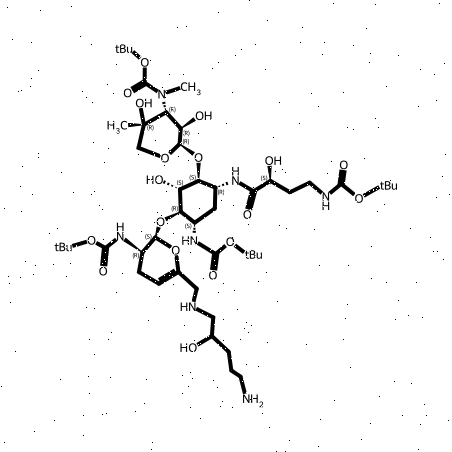 CN(C(=O)OC(C)(C)C)[C@@H]1[C@@H](O)[C@@H](O[C@@H]2[C@@H](O)[C@H](O[C@H]3OC(CNCC(O)CCCN)=CC[C@H]3NC(=O)OC(C)(C)C)[C@@H](NC(=O)OC(C)(C)C)C[C@H]2NC(=O)[C@@H](O)CCNC(=O)OC(C)(C)C)OC[C@]1(C)O